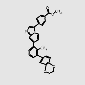 COC(=O)c1ccc(-c2cnc3cc(-c4cccc(-c5ccc6c(c5)OCCO6)c4C)ccn23)cc1